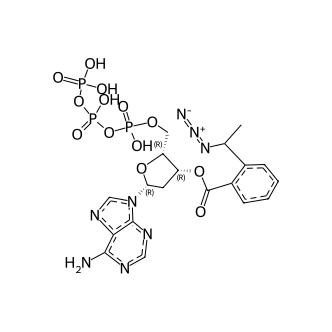 CC(N=[N+]=[N-])c1ccccc1C(=O)O[C@@H]1C[C@H](n2cnc3c(N)ncnc32)O[C@@H]1COP(=O)(O)OP(=O)(O)OP(=O)(O)O